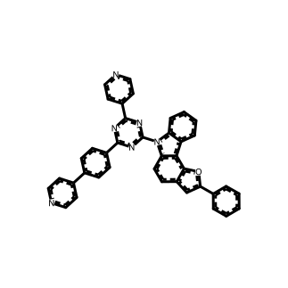 c1ccc(-c2cc3ccc4c(c5ccccc5n4-c4nc(-c5ccncc5)nc(-c5ccc(-c6ccncc6)cc5)n4)c3o2)cc1